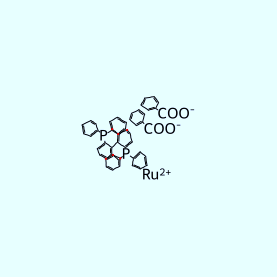 Cc1cccc(P(c2ccccc2)c2ccccc2)c1-c1c(C)cccc1P(c1ccccc1)c1ccccc1.O=C([O-])c1ccccc1.O=C([O-])c1ccccc1.[Ru+2]